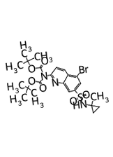 CC1(NS(=O)(=O)c2cc(Br)c3ccc(N(C(=O)OC(C)(C)C)C(=O)OC(C)(C)C)nc3c2)CC1